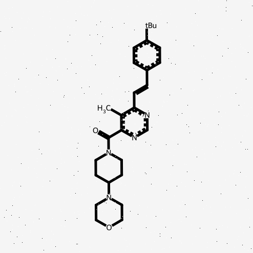 Cc1c(/C=C/c2ccc(C(C)(C)C)cc2)ncnc1C(=O)N1CCC(N2CCOCC2)CC1